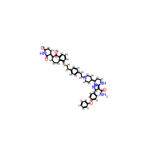 NC(=O)c1c(-c2ccc(Oc3ccccc3)cc2)nn2c1NCCC2C1CCN(CCc2ccc(CCSc3cccc4c3CCCC(C3CCC(=O)NC3=O)C4=O)cc2)CC1